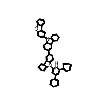 C1=CC(C2=CC(c3ccccc3)NC(n3c4c(c5ccccc53)=CC(C3=CC5C6=C(C=CCC6)N(c6ccc7oc8ccccc8c7c6)C5C=C3)CC=4)=C2)=CCC1